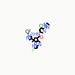 CC1(c2cnn(CC(F)(F)F)c2)CC(C(=O)Nc2cnc(-n3nccn3)c(Cl)c2)c2cnc3cc(F)nn3c21